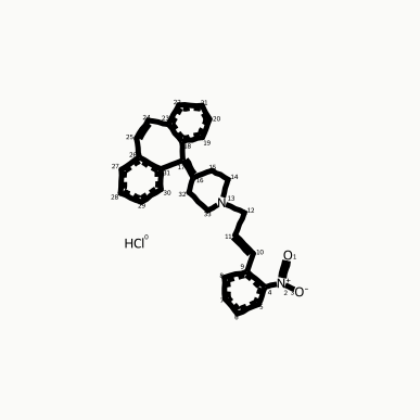 Cl.O=[N+]([O-])c1ccccc1C=CCN1CCC(=C2c3ccccc3C=Cc3ccccc32)CC1